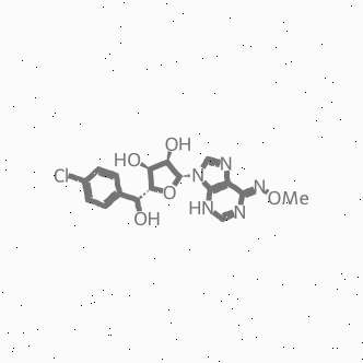 CON=c1nc[nH]c2c1ncn2[C@@H]1O[C@H](C(O)c2ccc(Cl)cc2)[C@@H](O)[C@H]1O